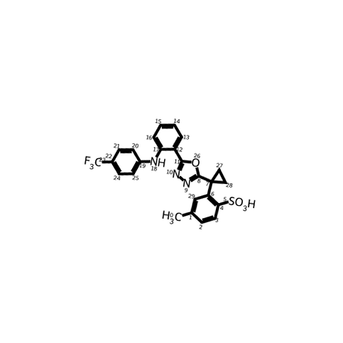 Cc1ccc(S(=O)(=O)O)c(C2(c3nnc(-c4ccccc4Nc4ccc(C(F)(F)F)cc4)o3)CC2)c1